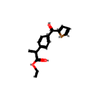 CCOC(=O)C(C)c1ccc(C(=O)c2cccs2)cc1